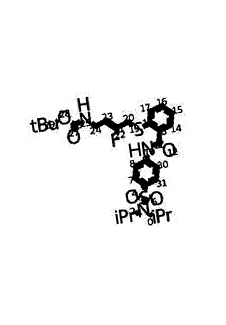 CC(C)N(C(C)C)S(=O)(=O)c1ccc(NC(=O)c2ccccc2SC/C(F)=C/CNC(=O)OC(C)(C)C)cc1